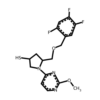 COc1nccc(N2CC(S)CC2COCc2cc(F)c(F)cc2F)n1